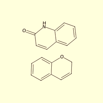 C1=Cc2ccccc2OC1.O=c1ccc2ccccc2[nH]1